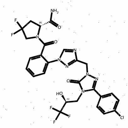 NC(=O)[C@H]1CC(F)(F)CN1C(=O)c1ccccc1-n1cnc(Cn2nc(-c3ccc(Cl)cc3)n(C[C@H](O)C(F)(F)F)c2=O)n1